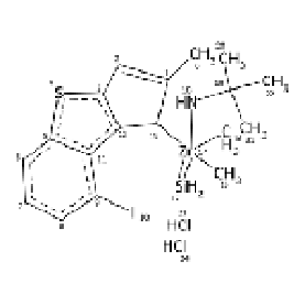 CC1=Cc2sc3cccc(I)c3c2[CH]1[Zr]([CH3])([CH3])(=[SiH2])[NH]C(C)(C)C.Cl.Cl